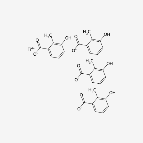 Cc1c(O)cccc1C(=O)[O-].Cc1c(O)cccc1C(=O)[O-].Cc1c(O)cccc1C(=O)[O-].Cc1c(O)cccc1C(=O)[O-].[Ti+4]